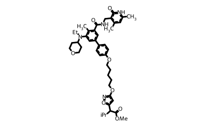 CCN(c1cc(-c2ccc(OCCCCCOc3cc(C(C(=O)OC)C(C)C)on3)cc2)cc(C(=O)NCc2c(C)cc(C)[nH]c2=O)c1C)C1CCOCC1